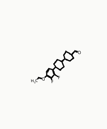 CCOc1ccc(C2CCC(C3CCC(C=O)CC3)CC2)c(F)c1F